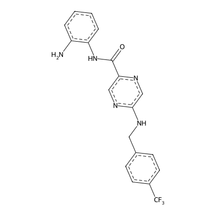 Nc1ccccc1NC(=O)c1cnc(NCc2ccc(C(F)(F)F)cc2)cn1